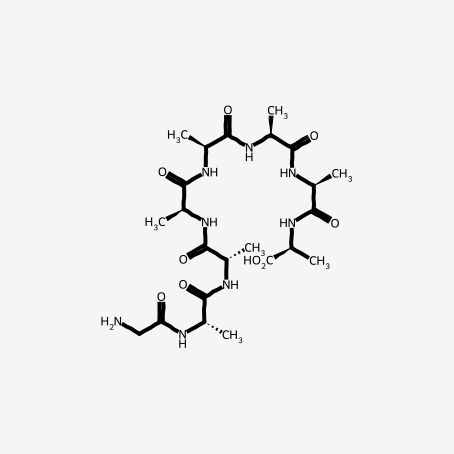 C[C@H](NC(=O)[C@H](C)NC(=O)[C@H](C)NC(=O)[C@H](C)NC(=O)[C@H](C)NC(=O)[C@H](C)NC(=O)[C@H](C)NC(=O)CN)C(=O)O